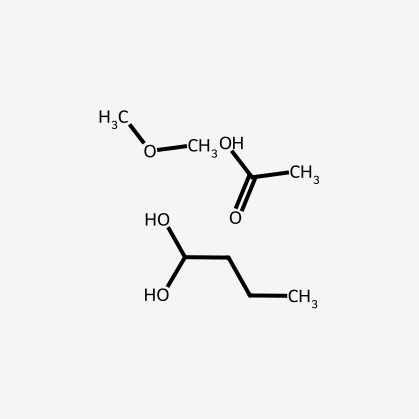 CC(=O)O.CCCC(O)O.COC